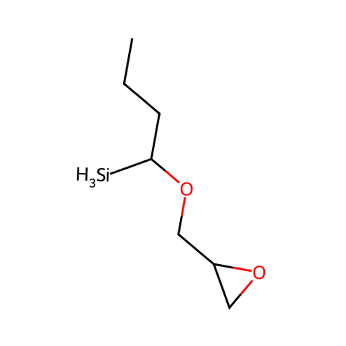 CCCC([SiH3])OCC1CO1